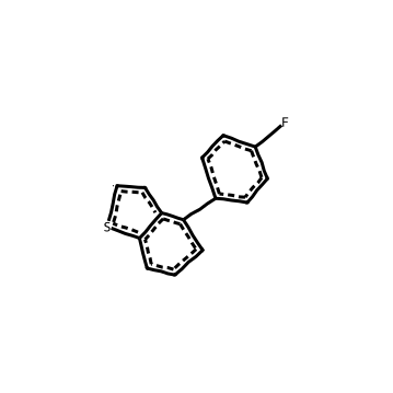 Fc1ccc(-c2cccc3s[c]cc23)cc1